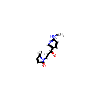 C=C1C=CC(=O)N1CCC(=O)c1ccc(NC)nc1